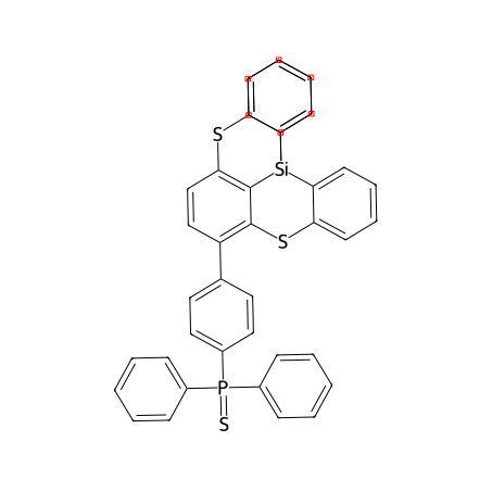 S=P(c1ccccc1)(c1ccccc1)c1ccc(-c2ccc3c4c2Sc2ccccc2[Si]4(c2ccccc2)c2ccccc2S3)cc1